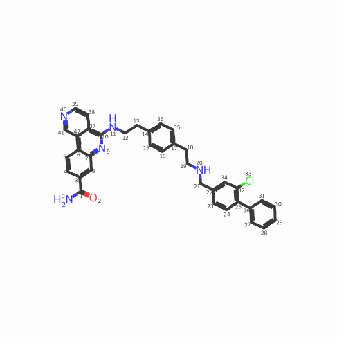 NC(=O)c1ccc2c(c1)nc(NCCc1ccc(CCNCc3ccc(-c4ccccc4)c(Cl)c3)cc1)c1ccncc12